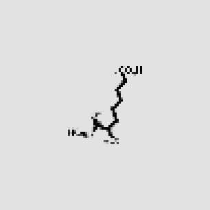 CCC(CCCCCC(=O)O)C(=O)OO